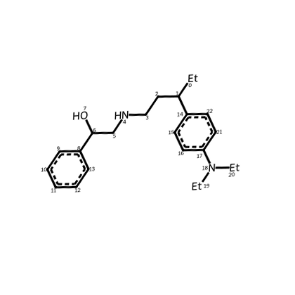 CCC(CCNCC(O)c1ccccc1)c1ccc(N(CC)CC)cc1